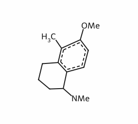 CNC1CCCc2c1ccc(OC)c2C